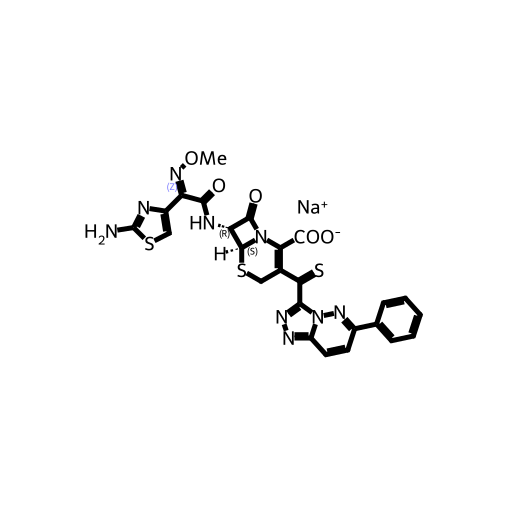 CO/N=C(\C(=O)N[C@@H]1C(=O)N2C(C(=O)[O-])=C(C(=S)c3nnc4ccc(-c5ccccc5)nn34)CS[C@@H]12)c1csc(N)n1.[Na+]